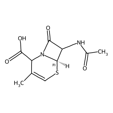 CC(=O)NC1C(=O)N2C(C(=O)O)C(C)=CS[C@H]12